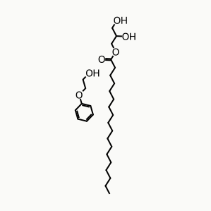 CCCCCCCCCCCCCCCCCC(=O)OCC(O)CO.OCCOc1ccccc1